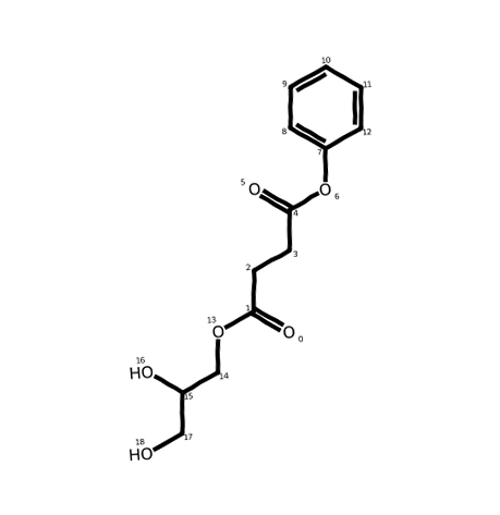 O=C(CCC(=O)Oc1ccccc1)OCC(O)CO